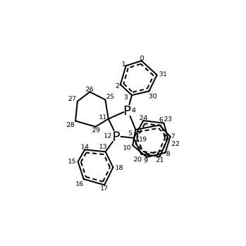 c1ccc(P(c2ccccc2)C2(P(c3ccccc3)c3ccccc3)CCCCC2)cc1